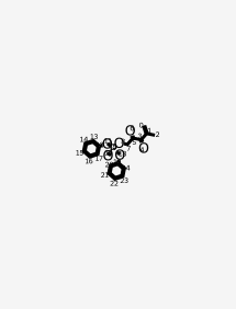 C=C(C)C(=O)C(=O)COP(=O)(Oc1ccccc1)Oc1ccccc1